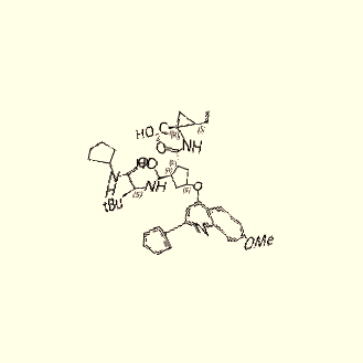 C=C[C@@H]1C[C@]1(NC(=O)[C@@H]1C[C@@H](Oc2cc(-c3ccccc3)nc3cc(OC)ccc23)C[C@H]1C(O)N[C@H](C(=O)NC1CCCC1)C(C)(C)C)C(=O)O